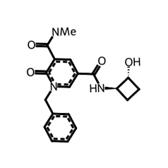 CNC(=O)c1cc(C(=O)N[C@@H]2CC[C@H]2O)cn(Cc2ccccc2)c1=O